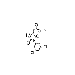 CC(C)OC(=O)C=C1NC(=O)N(c2cc(Cl)cc(Cl)c2)C1=O